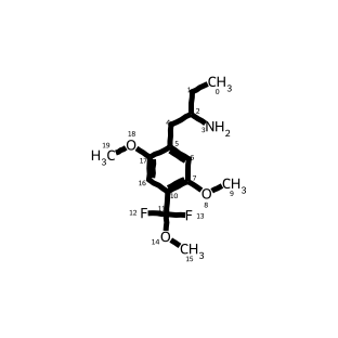 CCC(N)Cc1cc(OC)c(C(F)(F)OC)cc1OC